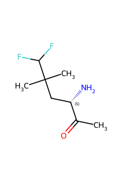 CC(=O)[C@@H](N)CC(C)(C)C(F)F